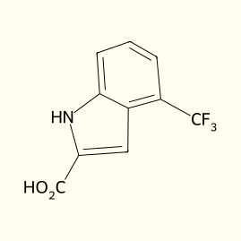 O=C(O)c1cc2c(C(F)(F)F)cccc2[nH]1